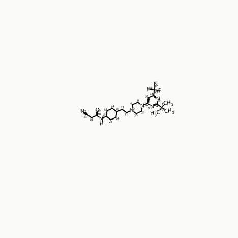 CC(C)(C)c1nc(N2CCN(CCC3CCC(NC(=O)CC#N)CC3)CC2)cc(C(F)(F)F)n1